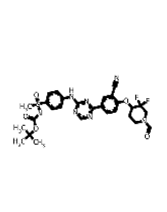 CC(C)(C)OC(=O)N=S(C)(=O)c1ccc(Nc2ncnc(-c3ccc(OC4CCN(C=O)CC4(F)F)c(C#N)c3)n2)cc1